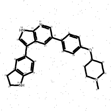 CN1CCC(Oc2ccc(-c3cnc4[nH]cc(-c5ccc6c(c5)CCN6)c4c3)cc2)CC1